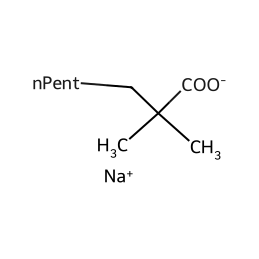 CCCCCCC(C)(C)C(=O)[O-].[Na+]